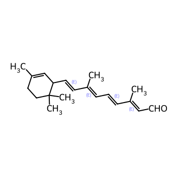 CC1=CC(/C=C/C(C)=C/C=C/C(C)=C/C=O)C(C)(C)CC1